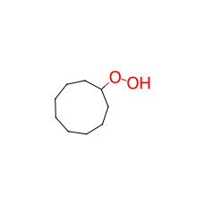 OOC1CCCCCCCC1